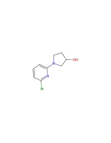 OC1CCN(c2cccc(Br)n2)C1